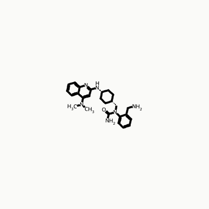 CN(C)c1cc(N[C@H]2CC[C@@H](CN(C(N)=O)c3ccccc3CN)CC2)nc2ccccc12